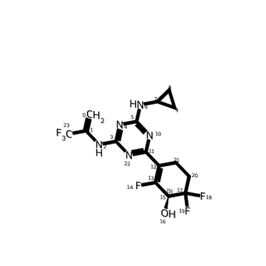 C=C(Nc1nc(NC2CC2)nc(C2=C(F)[C@H](O)C(F)(F)CC2)n1)C(F)(F)F